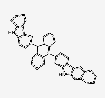 C1=CC2=C(c3ccc4c(c3)[nH]c3cc5ccccc5cc34)c3ccccc3C(c3ccc4[nH]c5ccccc5c4c3)C2C=C1